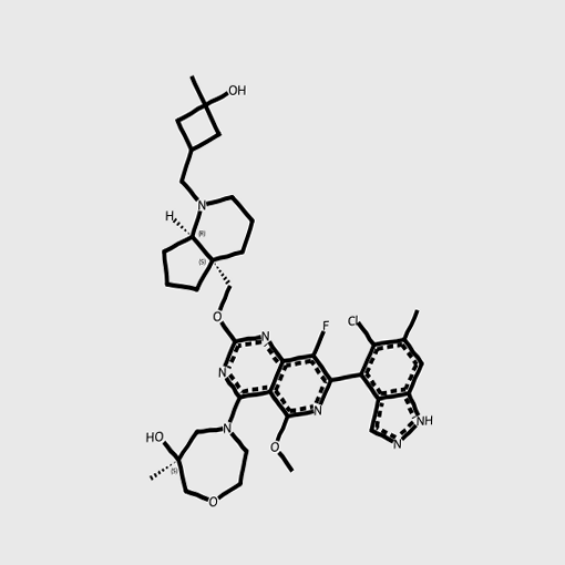 COc1nc(-c2c(Cl)c(C)cc3[nH]ncc23)c(F)c2nc(OC[C@]34CCC[C@H]3N(CC3CC(C)(O)C3)CCC4)nc(N3CCOC[C@@](C)(O)C3)c12